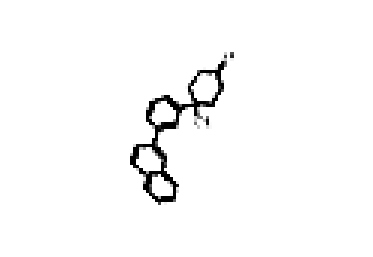 CC1(c2cccc(-c3ccc4ccccc4c3)c2)CCC(=O)CC1